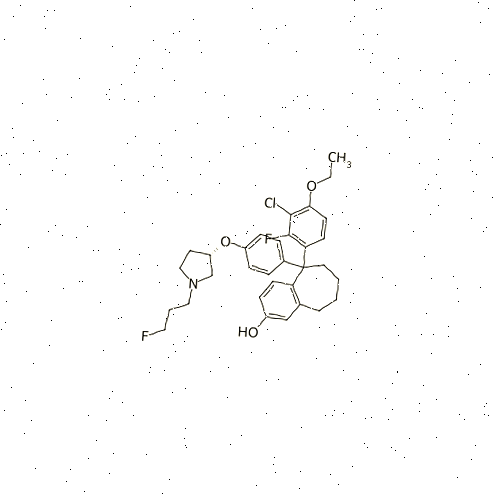 CCOc1ccc(C2(c3ccc(O[C@H]4CCN(CCCF)C4)cc3)CCCCc3cc(O)ccc32)c(F)c1Cl